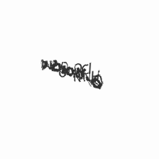 Cc1cc(S(=O)(=O)N2CCC(n3ncc(NC[C@H]4CCCOC4)c(Cl)c3=O)CC2)ccc1N(C)C